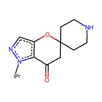 CC(C)n1ncc2c1C(=O)CC1(CCNCC1)O2